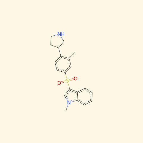 Cc1cc(S(=O)(=O)c2cn(C)c3ccccc23)ccc1C1CCNC1